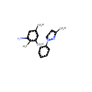 Cc1c(N)cc(C(=O)O)cc1C(=O)O.O=C(O)c1ccn(-c2ccccc2)n1